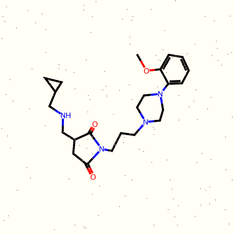 COc1ccccc1N1CCN(CCCN2C(=O)CC(CNCC3CC3)C2=O)CC1